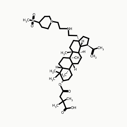 C=C(C)[C@@H]1CC[C@]2(CCNCCN3CCC(S(C)(=O)=O)CC3)CC[C@]3(C)[C@H](CC[C@@H]4[C@@]5(C)CC[C@H](OC(=O)CC(C)(C)C(=O)O)C(C)(C)[C@@H]5CC[C@]43C)[C@@H]12